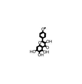 COc1ccc(-c2oc3cc(O)c(O)c(O)c3c(=O)c2O)cc1